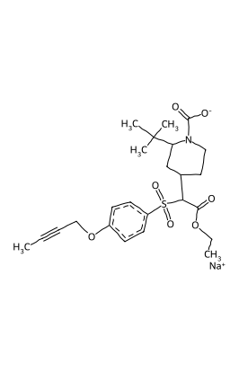 CC#CCOc1ccc(S(=O)(=O)C(C(=O)OCC)C2CCN(C(=O)[O-])C(C(C)(C)C)C2)cc1.[Na+]